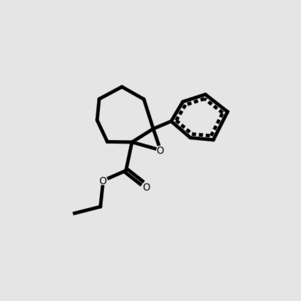 CCOC(=O)C12CCCCCC1(c1ccccc1)O2